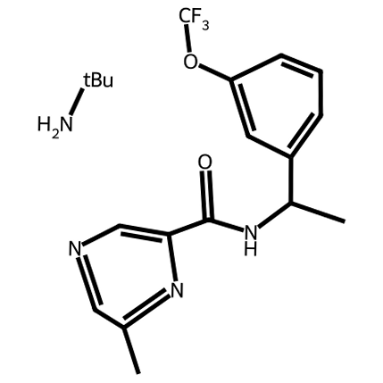 CC(C)(C)N.Cc1cncc(C(=O)NC(C)c2cccc(OC(F)(F)F)c2)n1